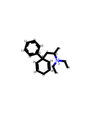 CCN(CC)C(C)CC1(c2ccccc2)C=CCC=C1